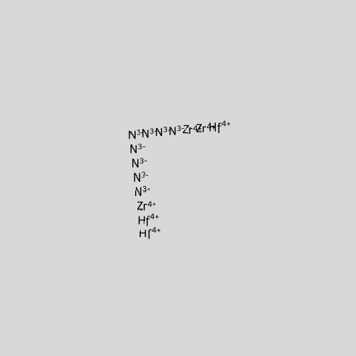 [Hf+4].[Hf+4].[Hf+4].[N-3].[N-3].[N-3].[N-3].[N-3].[N-3].[N-3].[N-3].[Zr+4].[Zr+4].[Zr+4]